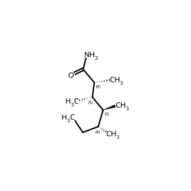 CC[C@@H](C)[C@H](C)[C@H](C)[C@@H](C)C(N)=O